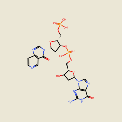 Nc1nc2c(ncn2[C@H]2CC(O)[C@@H](COP(=O)(O)O[C@H]3C[C@H](n4cnc5ccncc5c4=O)O[C@@H]3COP(=O)(O)O)O2)c(=O)[nH]1